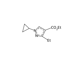 CCOC(=O)c1cn(C2CC2)nc1CC